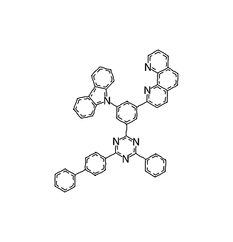 c1ccc(-c2ccc(-c3nc(-c4ccccc4)nc(-c4cc(-c5ccc6ccc7cccnc7c6n5)cc(-n5c6ccccc6c6ccccc65)c4)n3)cc2)cc1